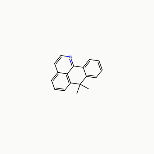 CC1(C)c2ccccc2-c2nccc3cccc1c23